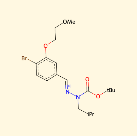 COCCOc1cc(/C=N/N(CC(C)C)C(=O)OC(C)(C)C)ccc1Br